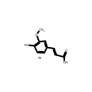 COc1cc(C=CC(=O)O)ccc1O.[Ni]